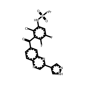 CCCS(=O)(=O)Nc1cc(F)c(F)c(C(=O)c2ccc3ncc(-c4cn[nH]c4)nc3c2)c1Cl